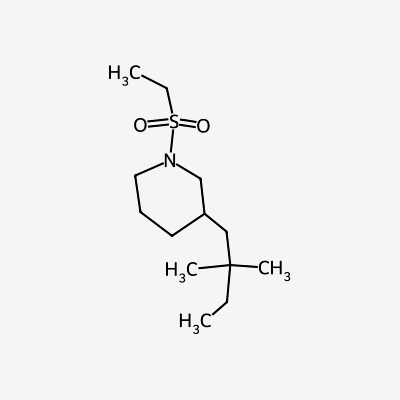 CCC(C)(C)CC1CCCN(S(=O)(=O)CC)C1